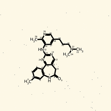 Cc1ccc2c(c1)NC(=O)Cc1cnc(Nc3cc(CCCN(C)C)cnc3C)nc1-2